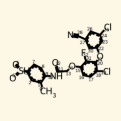 Cc1cc([SH](=O)=O)ccc1NC(=O)COc1ccc(Cl)c(Oc2cc(Cl)cc(C#N)c2)c1F